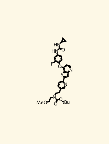 COCCN(CCc1ccc(-c2cc3nccc(Oc4ccc(NC(=O)NC5CC5)cc4F)c3s2)nc1)C(=O)OC(C)(C)C